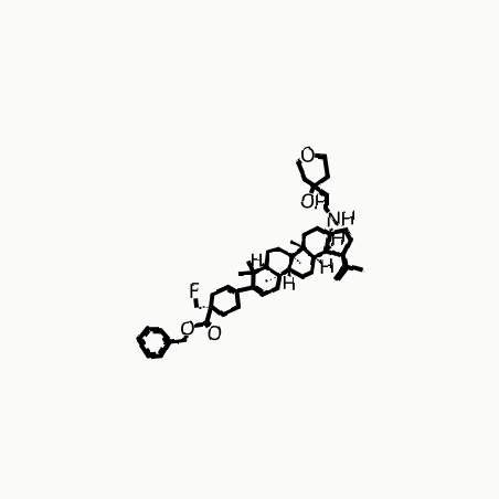 C=C(C)C1CC[C@]2(NCCC3(O)CCOCC3)CC[C@]3(C)[C@H](CC[C@@H]4[C@@]5(C)CC=C(C6=CC[C@](CF)(C(=O)OCc7ccccc7)CC6)C(C)(C)[C@@H]5CC[C@]43C)[C@@H]12